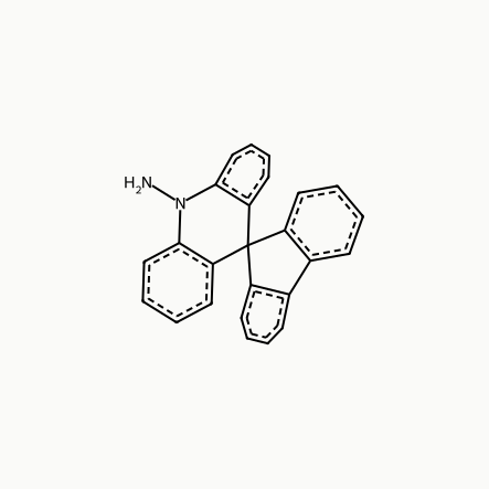 NN1c2ccccc2C2(c3ccccc3-c3ccccc32)c2ccccc21